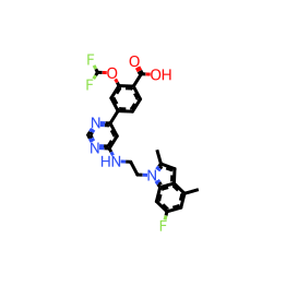 Cc1cc(F)cc2c1cc(C)n2CCNc1cc(-c2ccc(C(=O)O)c(OC(F)F)c2)ncn1